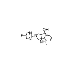 NC1(c2ccccn2)CN(c2ncc(F)cn2)CC1CO